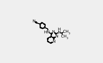 CC(C)Nc1nc(NCc2ccc(C#N)cc2)c2cccnc2n1